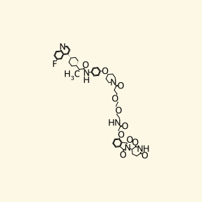 C[C@@H](C(=O)Nc1ccc(OC2CCN(C(=O)CCOCCOCCNC(=O)COc3cccc4c3C(=O)N(C3CCC(=O)NC3=O)C4=O)CC2)cc1)[C@H]1CC[C@@H](c2ccnc3ccc(F)cc32)CC1